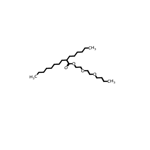 CCCCCCCCC(CCCCCC)C(=O)OCCOCCOCCCC